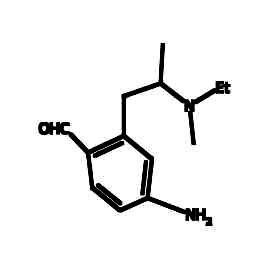 CCN(C)C(C)Cc1cc(N)ccc1C=O